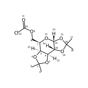 CC1(C)O[C@H]2[C@@H](O1)[C@@H](COC(=O)Cl)O[C@@H]1OC(C)(C)O[C@@H]12